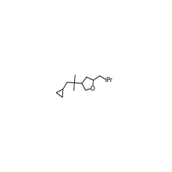 CC(C)CC1CC(C(C)(C)CC2CC2)CO1